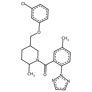 Cc1ccc(-n2nccn2)c(C(=O)N2CC(COc3cccc(Cl)c3)CCC2C)c1